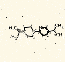 CC(C)c1ccc(N2CCN(C(C)C)CC2)nc1